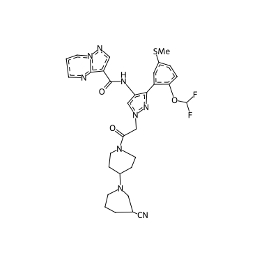 CSc1ccc(OC(F)F)c(-c2nn(CC(=O)N3CCC(N4CCCC(C#N)C4)CC3)cc2NC(=O)c2cnn3cccnc23)c1